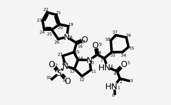 CNC(C)C(=O)NC(C(=O)N1CCC2C1C(C(=O)N1Cc3ccccc3C1)CN2S(C)(=O)=O)C1CCCCC1